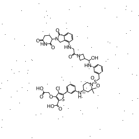 CC1(C)C[C@@H](Nc2cccc(-c3sc(C(=O)O)c(OCC(=O)O)c3Cl)c2)CCN1S(=O)(=O)Cc1cccc(NC(O)C2CN(C(=O)CNc3cccc4c3CN(C3CCC(=O)NC3=O)C4=O)C2)c1